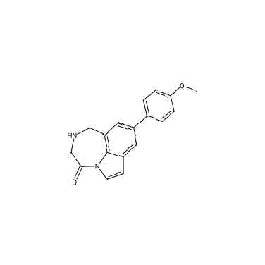 COc1ccc(-c2cc3c4c(ccn4C(=O)CNC3)c2)cc1